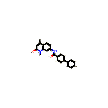 Cc1cc(=O)n(C)c2cc(NC(=O)c3ccc(-c4ccccc4)cc3)ccc12